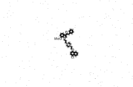 COc1cccc2c(C(=O)Cc3ccccc3)cn(CCCN3CCN(CCOc4ccc(Cl)c5ccccc45)CC3)c12